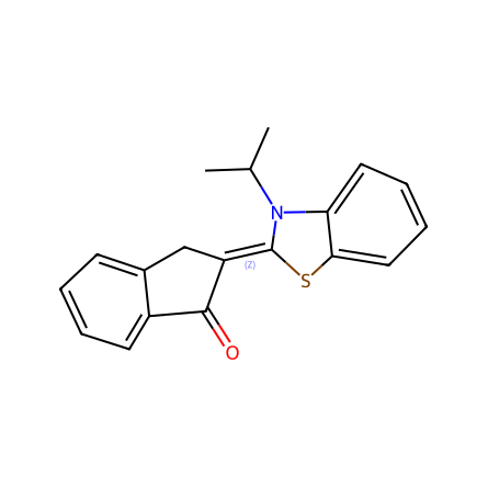 CC(C)N1/C(=C2\Cc3ccccc3C2=O)Sc2ccccc21